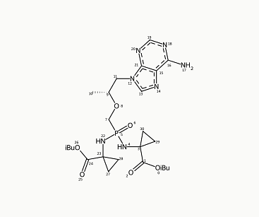 CC(C)COC(=O)C1(NP(=O)(CO[C@H](C)Cn2cnc3c(N)ncnc32)NC2(C(=O)OCC(C)C)CC2)CC1